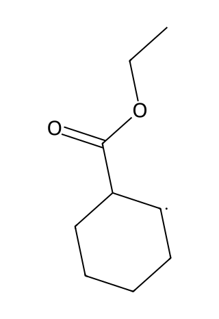 CCOC(=O)C1[CH]CCCC1